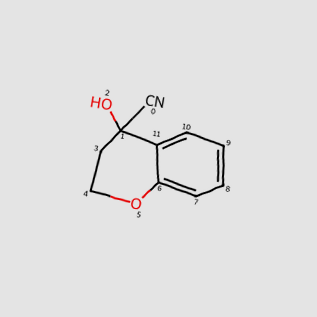 N#CC1(O)CCOc2ccccc21